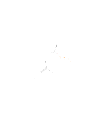 C=C(C)CC(C)P